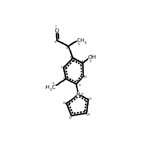 Cc1cc(C(C)C=O)c(O)cc1-n1cccc1